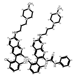 CN1CCN(CCCNc2ncc3cc(-c4c(Cl)cccc4Cl)c(N)nc3n2)CC1.CN1CCN(CCCNc2ncc3cc(-c4c(Cl)cccc4Cl)c(NC(=O)Nc4ccccc4)nc3n2)CC1